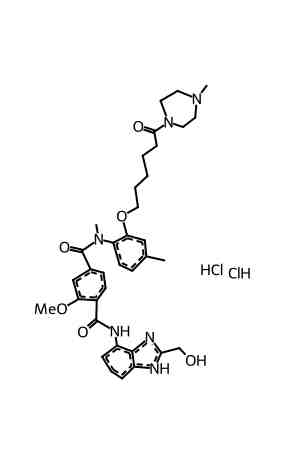 COc1cc(C(=O)N(C)c2ccc(C)cc2OCCCCCC(=O)N2CCN(C)CC2)ccc1C(=O)Nc1cccc2[nH]c(CO)nc12.Cl.Cl